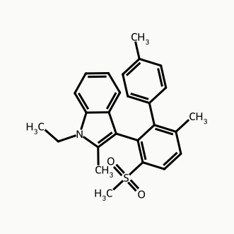 CCn1c(C)c(-c2c(S(C)(=O)=O)ccc(C)c2-c2ccc(C)cc2)c2ccccc21